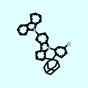 Clc1ccc2c(c1)-n1c3ccc(-n4c5ccccc5c5ccccc54)cc3c3cccc(c31)C21C2CC3CC(C2)CC1C3